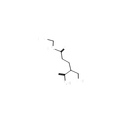 CCNC(=O)CCC(CC)C(N)=O